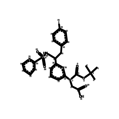 CC(C)(C)OC(=O)N(CC(=O)O)c1cccc(C(Cc2ccc(I)cc2)NS(=O)(=O)c2ccccn2)n1